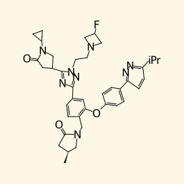 CC(C)c1ccc(-c2ccc(Oc3cc(-c4nc(C5CC(=O)N(C6CC6)C5)n(CCN5CC(F)C5)n4)ccc3CN3C[C@@H](C)CC3=O)cc2)nn1